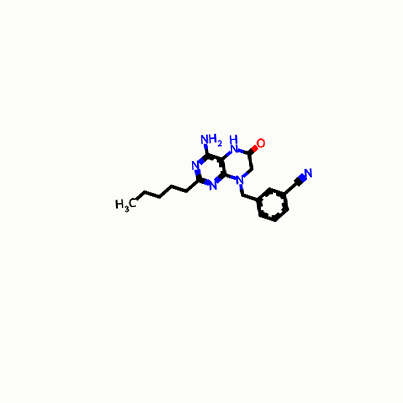 CCCCCc1nc(N)c2c(n1)N(Cc1cccc(C#N)c1)CC(=O)N2